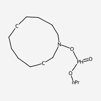 CCCO[PH](=O)ON1CCCCCCCCCCC1